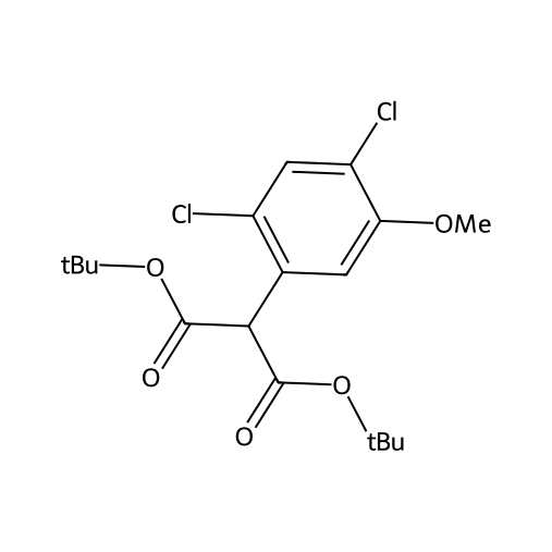 COc1cc(C(C(=O)OC(C)(C)C)C(=O)OC(C)(C)C)c(Cl)cc1Cl